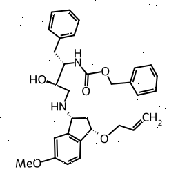 C=CCO[C@H]1C[C@@H](NC[C@@H](O)[C@H](Cc2ccccc2)NC(=O)OCc2ccccc2)c2cc(OC)ccc21